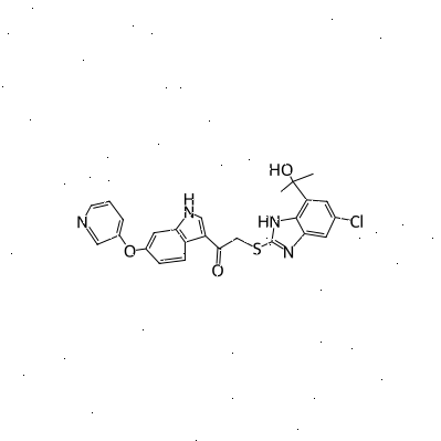 CC(C)(O)c1cc(Cl)cc2nc(SCC(=O)c3c[nH]c4cc(Oc5cccnc5)ccc34)[nH]c12